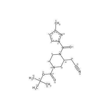 Cc1ccn(C(=O)N2CCN(C(=O)OC(C)(C)C)CC2CC#N)n1